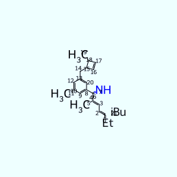 CC/C(=C/C=C(\C)C(=N)c1cc(C)cc(CC2C=CC2C)c1)[C@H](C)CC